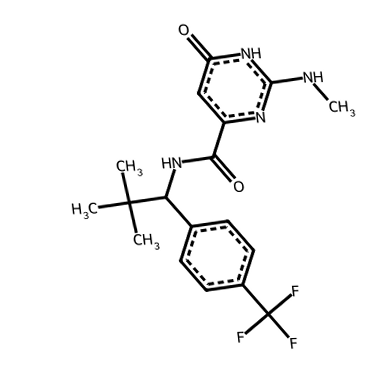 CNc1nc(C(=O)NC(c2ccc(C(F)(F)F)cc2)C(C)(C)C)cc(=O)[nH]1